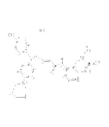 Cl.O=C(/C=C/C=C(/c1ccc(Cl)cc1)c1ccc(N2CCCCC2)cc1)Nc1cccc2c1CC(O)C(=O)N2